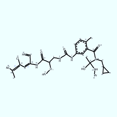 CCCOC(CNC(=O)Nc1ccc(C)c(C(=O)N(CC2CC2)C(C)(O)NC(C)C)c1)C(=O)N/C(C=N)=C/C(Cl)=C(\C)C#N